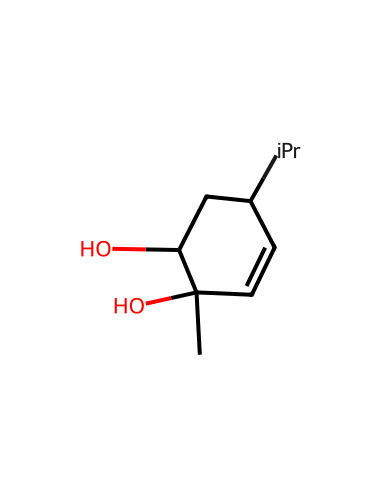 CC(C)C1C=CC(C)(O)C(O)C1